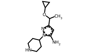 CC(OC1CC1)c1cc(N)n(C2CCNCC2)n1